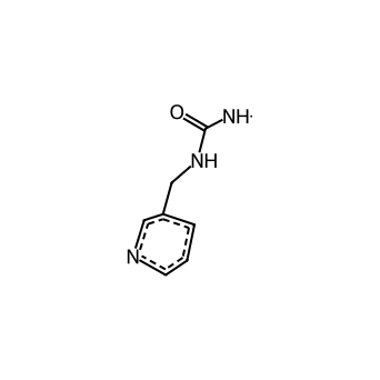 [NH]C(=O)NCc1cccnc1